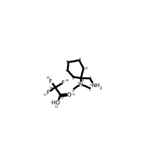 CN(C)C1(CN)CCCCC1.O=C(O)C(F)(F)F